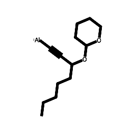 CCCCCC(C#[C][Al])OC1CCCCO1